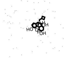 Oc1ccc2c3c1O[C@H]1C(O)CCC4(O)[C@@H](C2)N(CC2CCC2)CC[C@]314